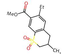 CCc1cc2c(cc1C(=O)OC)S(=O)(=O)CC(C)C2